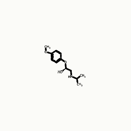 COc1ccc(O[C@H](O)CNC(C)C)cc1